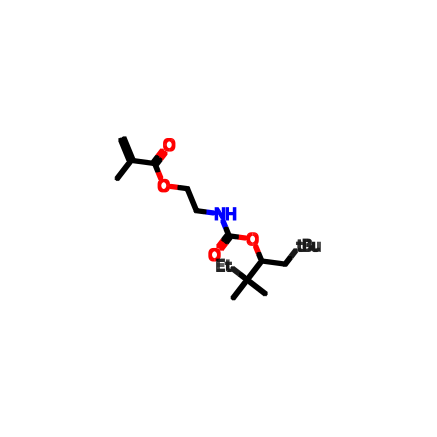 C=C(C)C(=O)OCCNC(=O)OC(CC(C)(C)C)C(C)(C)CC